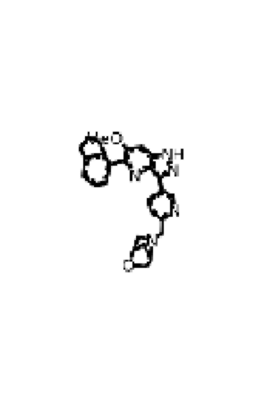 COc1cc2[nH]nc(-c3ccc(CN4CC5CC4CO5)nc3)c2nc1-c1cccc2c1CCC2